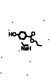 C=CC.CCCOC(=O)c1ccc(O)cc1.[NaH]